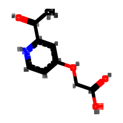 CC(=O)c1cc(OCC(=O)O)ccn1